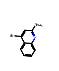 CC(=O)Nc1cc(C(C)(C)C)c2ccccc2n1